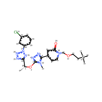 C[C@@H](Oc1nnc(-c2ccn(COCC[Si](C)(C)C)c(=O)c2)n1C)c1nnn(-c2cccc(Cl)c2)n1